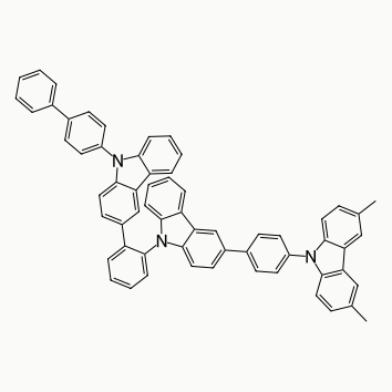 Cc1ccc2c(c1)c1cc(C)ccc1n2-c1ccc(-c2ccc3c(c2)c2ccccc2n3-c2ccccc2-c2ccc3c(c2)c2ccccc2n3-c2ccc(-c3ccccc3)cc2)cc1